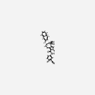 Cn1cc2c(c1C(=O)Nc1ccc(F)c(C#N)c1)CC[C@H](Cc1ccc3ccccc3c1)NS2(=N)=O